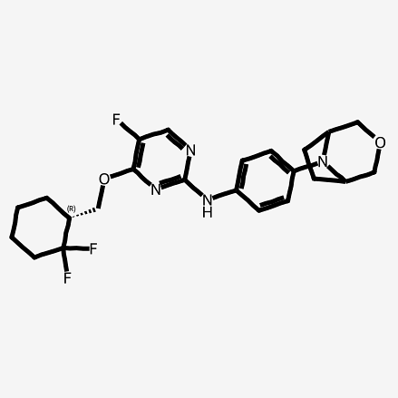 Fc1cnc(Nc2ccc(N3C4CCC3COC4)cc2)nc1OC[C@H]1CCCCC1(F)F